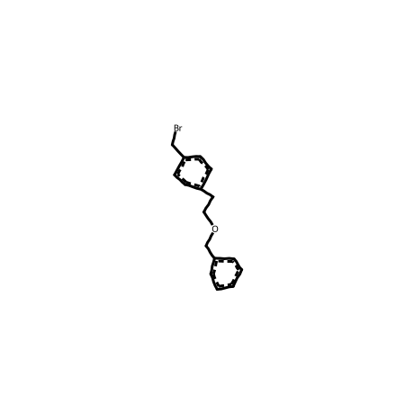 BrCc1ccc(CCOCc2ccccc2)cc1